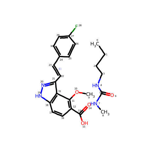 CCCCNC(=O)NC.COc1c(C(=O)O)ccc2[nH]nc(/C=C/c3ccc(F)cc3)c12